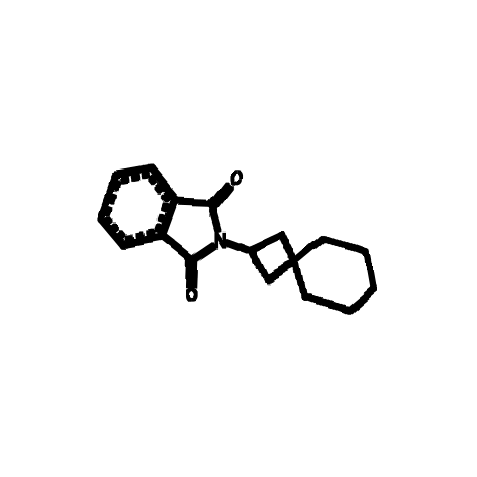 O=C1c2ccccc2C(=O)N1C1CC2(CCCCC2)C1